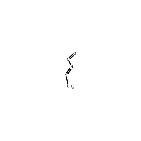 CN=NN=O